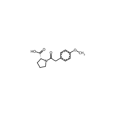 COc1ccc(CC(=O)N2CCC[C@@H]2C(=O)O)cc1